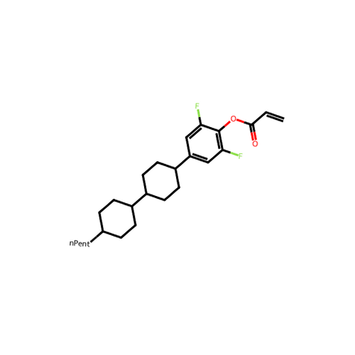 C=CC(=O)Oc1c(F)cc(C2CCC(C3CCC(CCCCC)CC3)CC2)cc1F